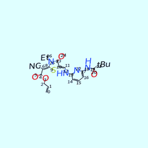 C=CCOC(=O)C(C#N)=c1sc(=CNc2cccc(NC(=O)C(C)(C)C)n2)c(=O)n1CC